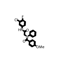 COc1ccc(C(=O)N(CC(=O)Nc2ccc(F)c(Cl)c2)c2ccccc2)cc1